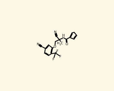 CC(C#N)(COc1cc(C#N)ccc1C(F)(F)F)NC(=O)C1=CCC=C1